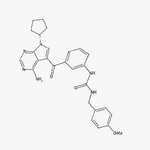 COc1ccc(CNC(=O)Nc2cccc(C(=O)c3cn(C4CCCC4)c4ncnc(N)c34)c2)cc1